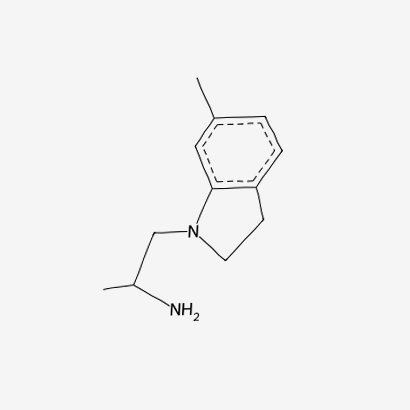 Cc1ccc2c(c1)N(CC(C)N)CC2